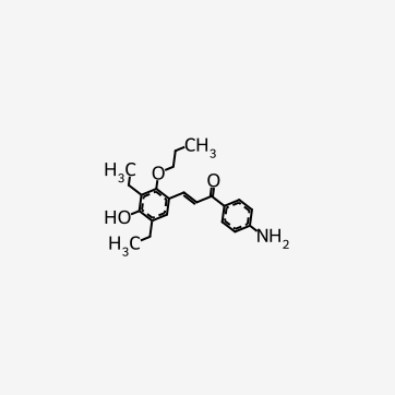 CCCOc1c(C=CC(=O)c2ccc(N)cc2)cc(CC)c(O)c1CC